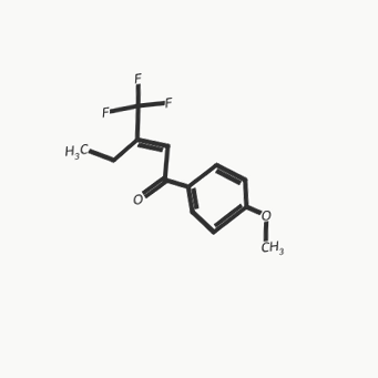 CC/C(=C\C(=O)c1ccc(OC)cc1)C(F)(F)F